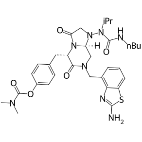 CCCCNC(=O)N(C(C)C)N1CC(=O)N2[C@@H](Cc3ccc(OC(=O)N(C)C)cc3)C(=O)N(Cc3cccc4sc(N)nc34)C[C@@H]21